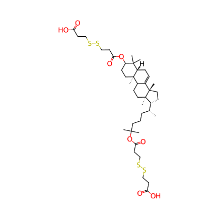 C[C@H](CCCC(C)(C)OC(=O)CCSSCCC(=O)O)[C@H]1CC[C@@]2(C)C3=CC[C@H]4C(C)(C)C(OC(=O)CCSSCCC(=O)O)CC[C@]4(C)C3CC[C@]12C